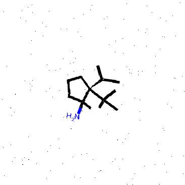 CC(C)[C@]1(C(C)(C)C)CCCC1(C)N